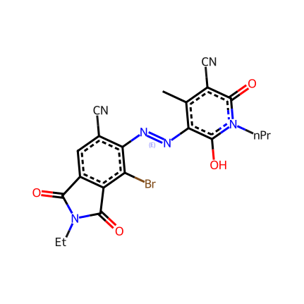 CCCn1c(O)c(/N=N/c2c(C#N)cc3c(c2Br)C(=O)N(CC)C3=O)c(C)c(C#N)c1=O